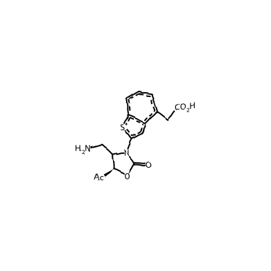 CC(=O)[C@@H]1OC(=O)N(c2cc3c(CC(=O)O)cccc3s2)C1CN